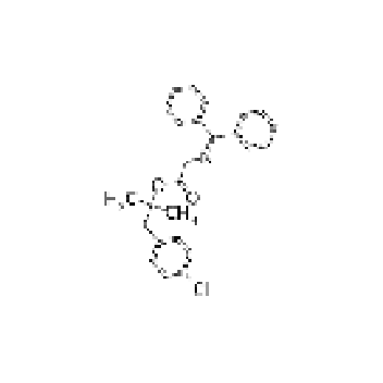 CC(C)(Cc1ccc(Cl)cc1)OC(=O)CN=C(c1ccccc1)c1ccccc1